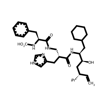 C=C[C@@H](C[C@H](O)[C@H](CC1CCCCC1)NC(=O)[C@@H](CNC(=O)[C@H](Cc1ccccc1)NC(=O)O)Cc1c[nH]cn1)C(C)C